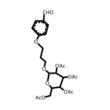 CC(=O)OCC1OC(OCCCOc2ccc(C=O)cc2)C(OC(C)=O)C(OC(C)=O)C1OC(C)=O